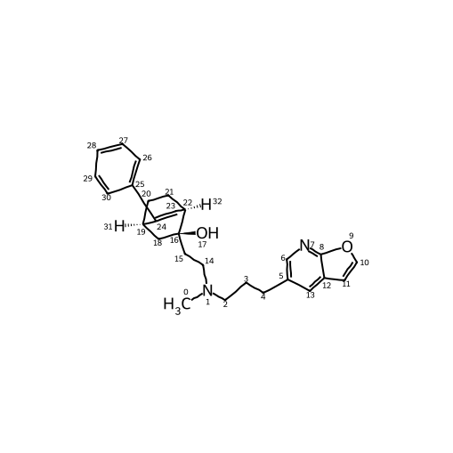 CN(CCCc1cnc2occc2c1)CC[C@]1(O)C[C@H]2CC[C@@H]1C=C2c1ccccc1